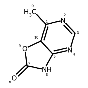 Cc1ncnc2[nH]c(=O)oc12